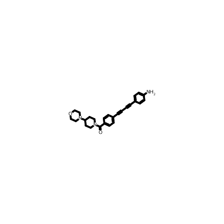 Nc1ccc(C#CC#Cc2ccc(C(=O)N3CCC(N4CCOCC4)CC3)cc2)cc1